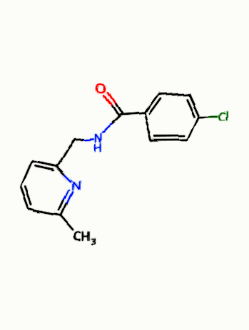 Cc1cccc(CNC(=O)c2ccc(Cl)cc2)n1